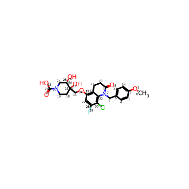 COc1ccc(CN2C(=O)CCc3c(OC[C@]4(O)CCN(C(=O)O)C[C@H]4O)cc(F)c(Cl)c32)cc1